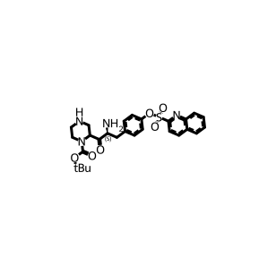 CC(C)(C)OC(=O)N1CCNCC1C(=O)[C@@H](N)Cc1ccc(OS(=O)(=O)c2ccc3ccccc3n2)cc1